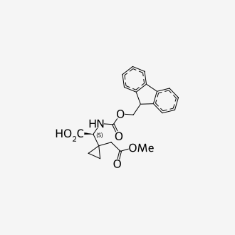 COC(=O)CC1([C@H](NC(=O)OCC2c3ccccc3-c3ccccc32)C(=O)O)CC1